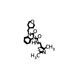 Cc1nc(C)c(CNC(=O)n2c(=O)n(CC3CCOCC3)c3ccccc32)s1